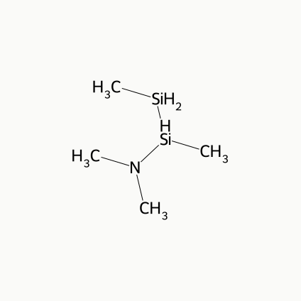 C[SiH2][SiH](C)N(C)C